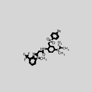 CC(C)N(C)C1CCC(NC(=O)Cc2nc3c(C(F)(F)F)cccc3n2C)C(CS(=O)(=O)c2ccc(Br)cc2)C1